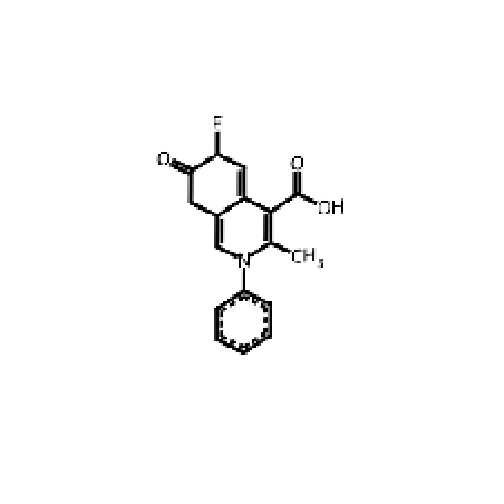 CC1=C(C(=O)O)C2=CC(F)C(=O)CC2=CN1c1ccccc1